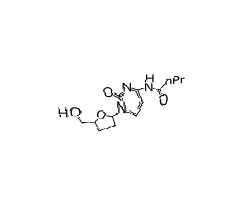 CCCC(=O)Nc1ccn([C@H]2CC[C@@H](CO)O2)c(=O)n1